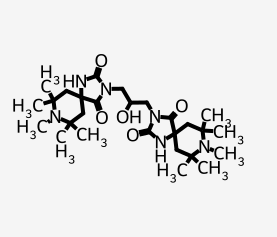 CN1C(C)(C)CC2(CC1(C)C)NC(=O)N(CC(O)CN1C(=O)NC3(CC(C)(C)N(C)C(C)(C)C3)C1=O)C2=O